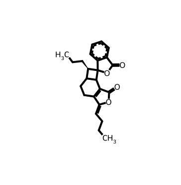 CCC/C=C1\OC(=O)C2=C1CCC1C2C2(OC(=O)c3ccccc32)[C@@H]1CCC